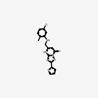 Cc1ccc(Cl)cc1NCc1cc(=O)n2nc(-c3cccs3)nc2[nH]1